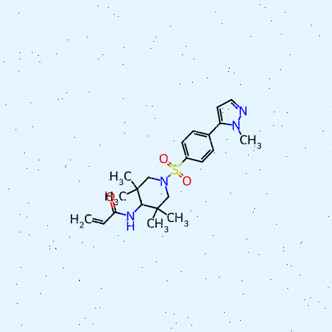 C=CC(=O)NC1C(C)(C)CN(S(=O)(=O)c2ccc(-c3ccnn3C)cc2)CC1(C)C